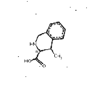 CC1c2ccccc2CN[C@@H]1C(=O)O